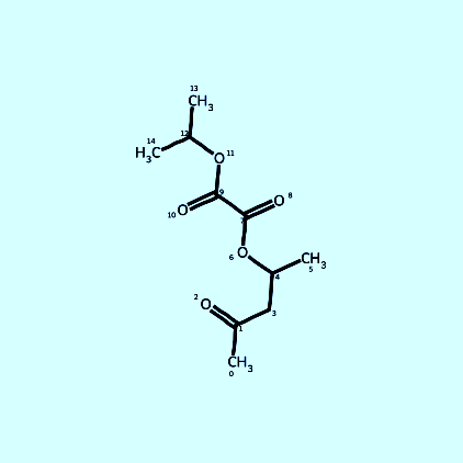 CC(=O)CC(C)OC(=O)C(=O)OC(C)C